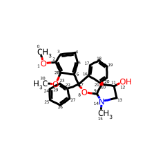 COc1cccc(C(OC2CC(O)CN2C)(c2ccccc2)c2ccccc2)c1OC